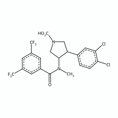 CN(C(=O)c1cc(C(F)(F)F)cc(C(F)(F)F)c1)C1CN(C(=O)O)CC1c1ccc(Cl)c(Cl)c1